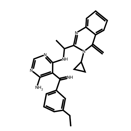 C=C1c2ccccc2N=C(C(C)Nc2ncnc(N)c2C(=N)c2cccc(CC)c2)N1C1CC1